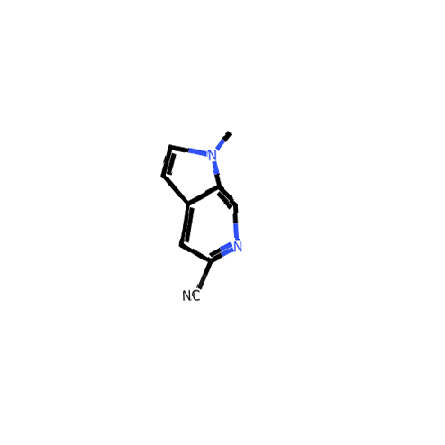 Cn1ccc2cc(C#N)ncc21